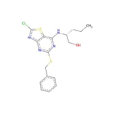 CCC[C@H](CO)Nc1nc(SCc2ccccc2)nc2nc(Cl)sc12